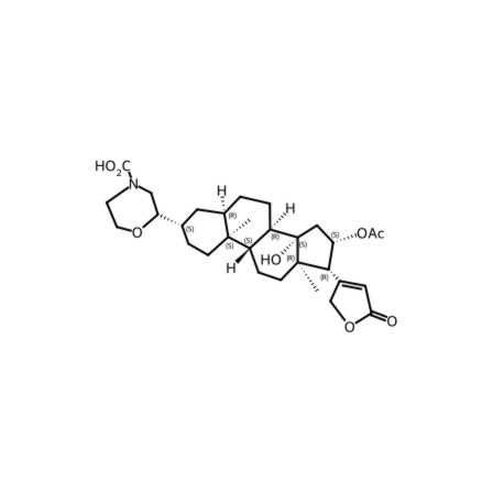 CC(=O)O[C@H]1C[C@]2(O)[C@@H]3CC[C@@H]4C[C@@H](C5CN(C(=O)O)CCO5)CC[C@]4(C)[C@H]3CC[C@]2(C)[C@H]1C1=CC(=O)OC1